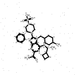 CC1CCC(Cn2c(N3CCN(S(C)(=O)=O)C[C@H]3c3ccccc3)nc3nc(C(N)=O)nc(N[C@H](C)C4CCC4)c32)CC1